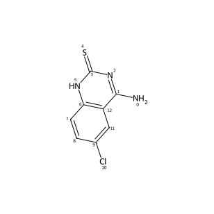 Nc1nc(=S)[nH]c2ccc(Cl)cc12